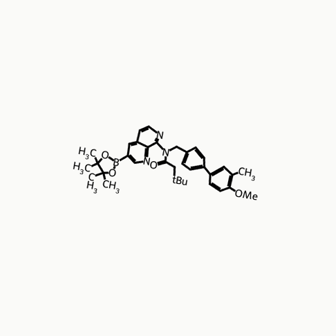 COc1ccc(-c2ccc(CN(C(=O)CC(C)(C)C)c3nccc4cc(B5OC(C)(C)C(C)(C)O5)cnc34)cc2)cc1C